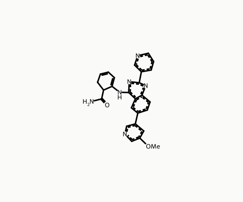 COc1cncc(-c2ccc3nc(-c4cccnc4)nc(NC4=CC=CCC4C(N)=O)c3c2)c1